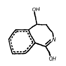 OC1=NCC(O)c2ccccc21